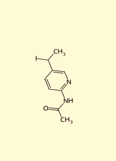 CC(=O)Nc1ccc(C(C)I)cn1